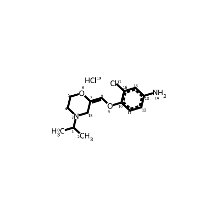 CC(C)N1CCOC(=COc2ccc(N)cc2Cl)C1.Cl